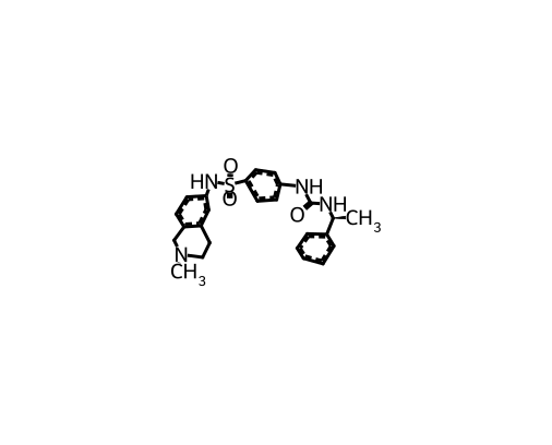 C[C@H](NC(=O)Nc1ccc(S(=O)(=O)Nc2ccc3c(c2)CCN(C)C3)cc1)c1ccccc1